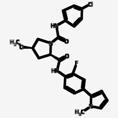 CO[C@@H]1C[C@H](C(=O)Nc2ccc(-c3cccn3C)cc2F)N(C(=O)Nc2ccc(Cl)cc2)C1